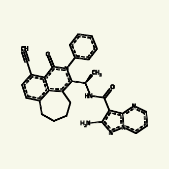 C#Cc1ccc2c3c(c([C@@H](C)NC(=O)c4c(N)nn5cccnc45)n(-c4ccccc4)c(=O)c13)CCCC2